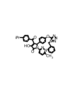 Cc1ccc(N2C(=O)C(O)=C(C(=O)c3ccc(C(C)C)cc3)C2c2ccc(Oc3nnnn3Cc3ccccc3)cc2)nn1